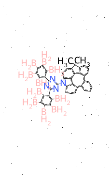 Bc1c(B)c(B)c(-c2nc(-c3c(B)c(B)c(B)c(B)c3B)nc(-n3c4cccc5c6ccccc6c6cccc7c6c6c(ccc3c6c54)C7(C)C)n2)c(B)c1B